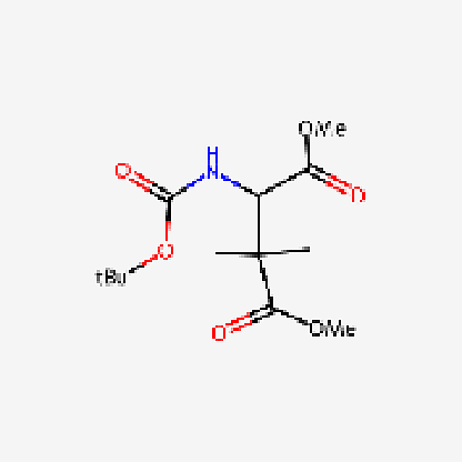 COC(=O)C(NC(=O)OC(C)(C)C)C(C)(C)C(=O)OC